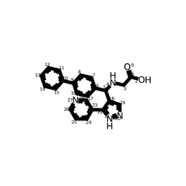 O=C(O)CNC(c1ccc(-c2ccccc2)cc1)c1cn[nH]c1-c1cccnc1